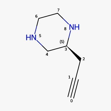 C#CC[C@H]1CNCCN1